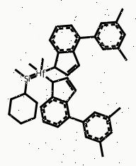 Cc1cc(C)cc(-c2cccc3c2C=C[CH]3[Hf]([CH3])([CH3])([CH]2C=Cc3c(-c4cc(C)cc(C)c4)cccc32)=[Si](C)C2CCCCC2)c1